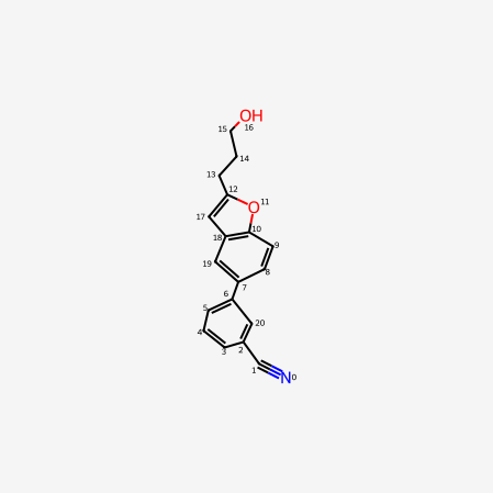 N#Cc1cccc(-c2ccc3oc(CCCO)cc3c2)c1